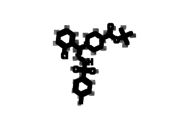 Cc1ccc(S(=O)(=O)NN=C(c2ccccc2Cl)N2CCN(C(=O)OC(C)(C)C)CC2)cc1